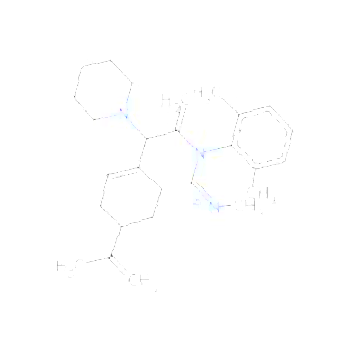 C=C(C)C1CC=C(C(C(=C)N(/C=N\C)c2c(C)cccc2C)N2CCCCC2)CC1